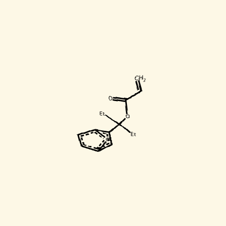 C=CC(=O)OC(CC)(CC)c1cc2ccc1o2